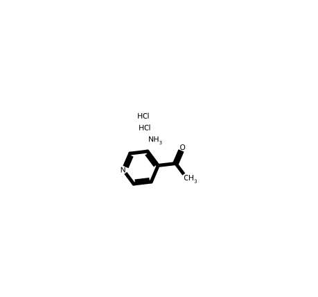 CC(=O)c1ccncc1.Cl.Cl.N